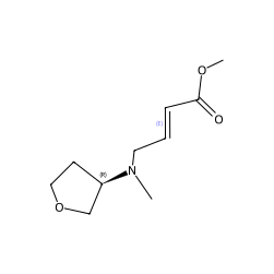 COC(=O)/C=C/CN(C)[C@@H]1CCOC1